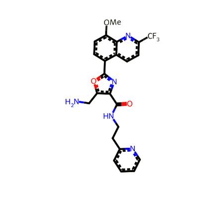 COc1ccc(-c2nc(C(=O)NCCc3ccccn3)c(CN)o2)c2ccc(C(F)(F)F)nc12